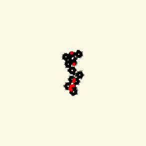 c1ccc(-c2ccc(-c3ccccc3N(c3ccc(-c4ccc5c(c4)C4(c6ccccc6-5)c5ccccc5-n5c6ccccc6c6cccc4c65)cc3)c3ccc(-c4cccc5c4oc4ccccc45)cc3)cc2)cc1